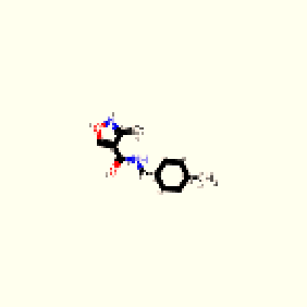 CCc1nocc1C(=O)NC[C@H]1CC[C@H](C)CC1